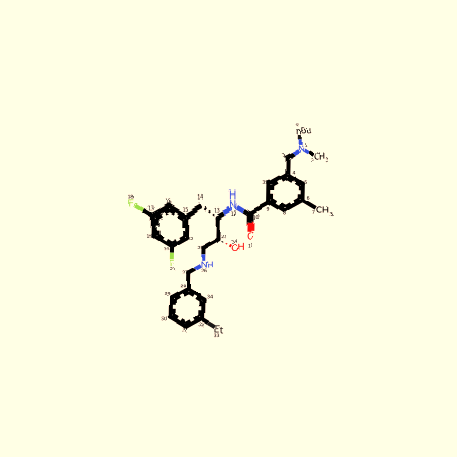 CCCCN(C)Cc1cc(C)cc(C(=O)N[C@@H](Cc2cc(F)cc(F)c2)[C@H](O)CNCc2cccc(CC)c2)c1